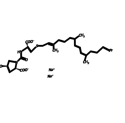 C/C(=C\CSC[C@H](NC(=O)N1C[C@H](O)C[C@H]1C(=O)[O-])C(=O)[O-])CCCC(C)CCCC(C)CCCC(C)C.[Na+].[Na+]